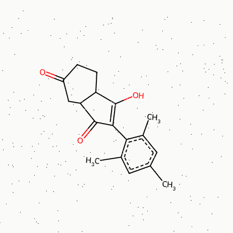 Cc1cc(C)c(C2=C(O)C3CCC(=O)CC3C2=O)c(C)c1